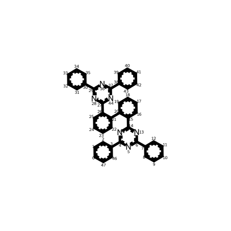 c1ccc(-c2nc(-c3ccccc3)nc(-c3ccccc3-c3ccccc3-c3nc(-c4ccccc4)nc(-c4ccccc4)n3)n2)cc1